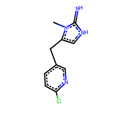 Cn1c(Cc2ccc(Cl)nc2)c[nH]c1=N